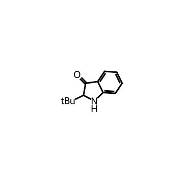 CC(C)(C)C1Nc2ccccc2C1=O